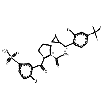 NS(=O)(=O)c1ccc(Cl)c(C(=O)N2CCC[C@@H]2C(=O)N[C@@H](c2ccc(C(F)(F)F)cc2F)C2CC2)c1